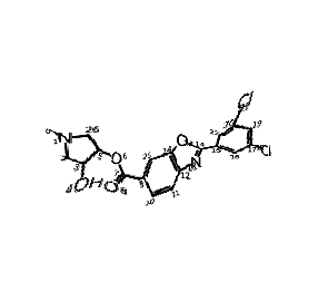 CN1CC(O)C(OC(=O)c2ccc3nc(-c4cc(Cl)cc(Cl)c4)oc3c2)C1